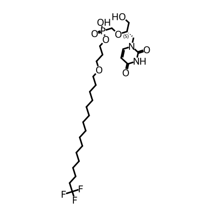 O=c1ccn(C[C@@H](CO)OCP(=O)(O)OCCCOCCCCCCCCCCCCCCCC(F)(F)F)c(=O)[nH]1